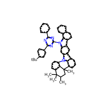 CC1CC2(C)c3c(cccc3C1(C)C)-n1c3cc4c(cc3c3cccc2c31)c1ccc2ccccc2c1n4-c1nc(-c2ccccc2)nc(-c2ccc(C(C)(C)C)cc2)n1